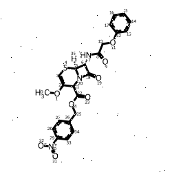 COC1=CS[C@H]2[C@H](NC(=O)COc3ccccc3)C(=O)N2C1C(=O)OCc1ccc([N+](=O)[O-])cc1